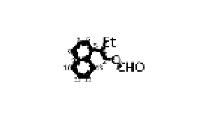 CCC(COC=O)c1cccc2ccccc12